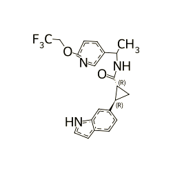 CC(NC(=O)[C@@H]1C[C@H]1c1ccc2cc[nH]c2c1)c1ccc(OCC(F)(F)F)nc1